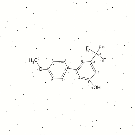 COc1ccc(-c2cc(O)cc(C(F)(F)F)c2)cc1